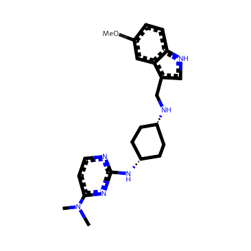 COc1ccc2[nH]cc(CN[C@H]3CC[C@@H](Nc4nccc(N(C)C)n4)CC3)c2c1